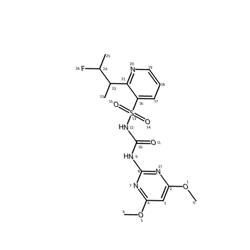 COc1cc(OC)nc(NC(=O)NS(=O)(=O)c2cccnc2C(C)C(C)F)n1